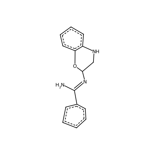 NC(=NC1CNc2ccccc2O1)c1ccccc1